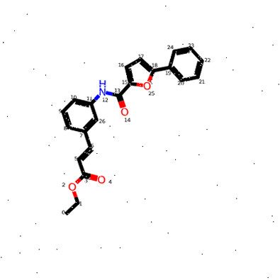 CCOC(=O)C=Cc1cccc(NC(=O)c2ccc(-c3ccccc3)o2)c1